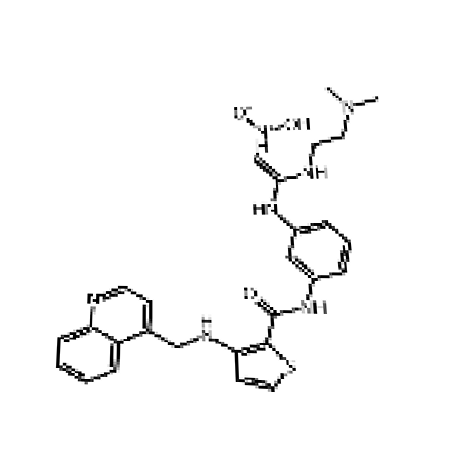 CN(C)CCN/C(=C\[NH+]([O-])O)Nc1cccc(NC(=O)c2sccc2NCc2ccnc3ccccc23)c1